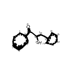 O=C(c1ccccc1)C(S)Cc1ccccc1